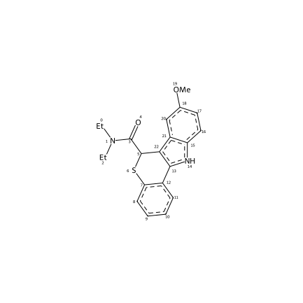 CCN(CC)C(=O)C1Sc2ccccc2-c2[nH]c3ccc(OC)cc3c21